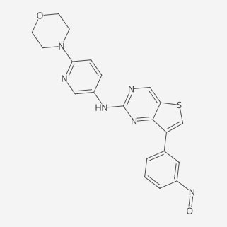 O=Nc1cccc(-c2csc3cnc(Nc4ccc(N5CCOCC5)nc4)nc23)c1